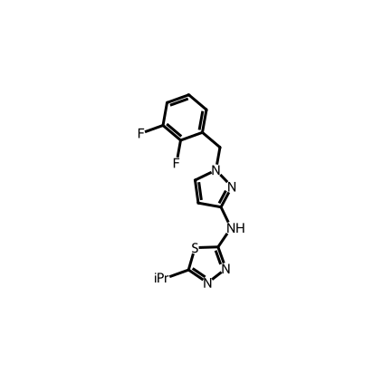 CC(C)c1nnc(Nc2ccn(Cc3cccc(F)c3F)n2)s1